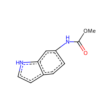 COC(=O)Nc1ccc2cc[nH]c2c1